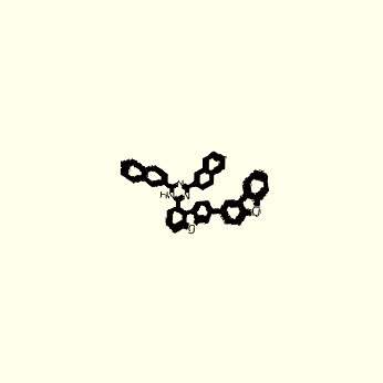 c1ccc2cc(C3=NC(c4ccc5ccccc5c4)NC(c4cccc5oc6cc(-c7ccc8oc9ccccc9c8c7)ccc6c45)=N3)ccc2c1